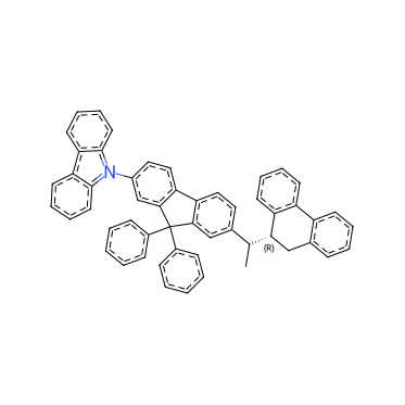 CC(c1ccc2c(c1)C(c1ccccc1)(c1ccccc1)c1cc(-n3c4ccccc4c4ccccc43)ccc1-2)[C@H]1Cc2ccccc2-c2ccccc21